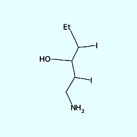 CCC(I)C(O)C(I)CN